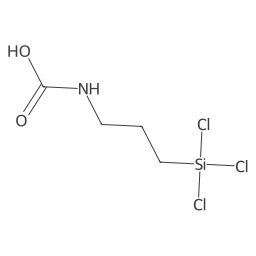 O=C(O)NCCC[Si](Cl)(Cl)Cl